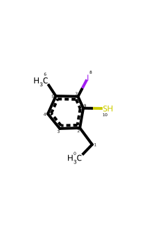 CCc1ccc(C)c(I)c1S